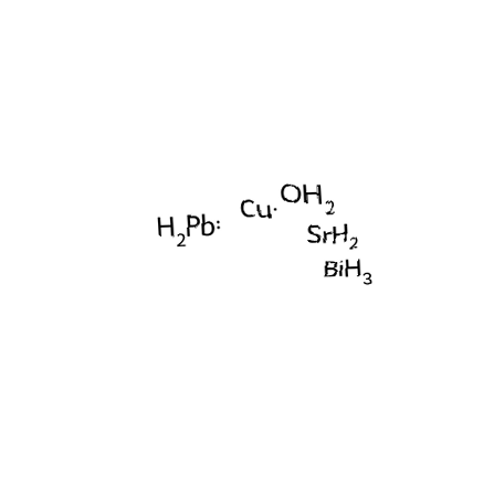 O.[BiH3].[Cu].[PbH2].[SrH2]